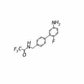 Nc1ccc(F)c(-c2ccc(CNC(=O)C(F)(F)F)cc2)c1